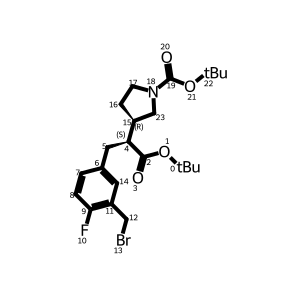 CC(C)(C)OC(=O)[C@@H](Cc1ccc(F)c(CBr)c1)[C@H]1CCN(C(=O)OC(C)(C)C)C1